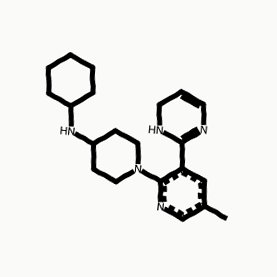 Cc1cnc(N2CCC(NC3CCCCC3)CC2)c(C2=NC=CCN2)c1